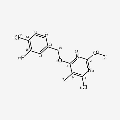 COc1nc(Cl)c(C)c(OCc2ccc(Cl)c(F)c2)n1